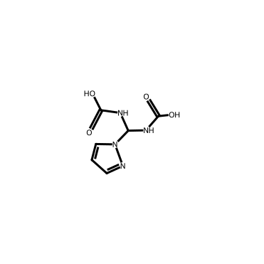 O=C(O)NC(NC(=O)O)n1cccn1